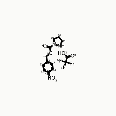 O=C(O)C(F)(F)F.O=C(OCc1ccc([N+](=O)[O-])cc1)N1CCCN1